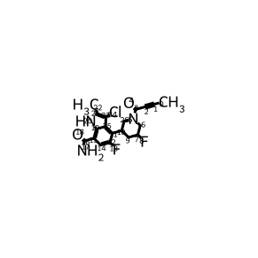 CC#CC(=O)N1CC(F)CC(c2c(F)cc(C(N)=O)c3[nH]c(C)c(Cl)c23)C1